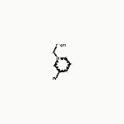 CCCCCC[n+]1cccc(C(C)C)c1